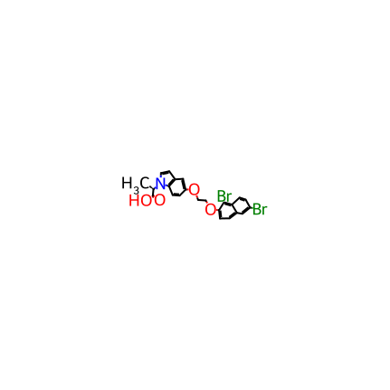 C[C@H](C(=O)O)n1ccc2cc(OCCOc3ccc4cc(Br)ccc4c3Br)ccc21